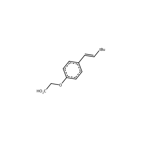 CC(C)(C)C=Cc1ccc(OCC(=O)O)cc1